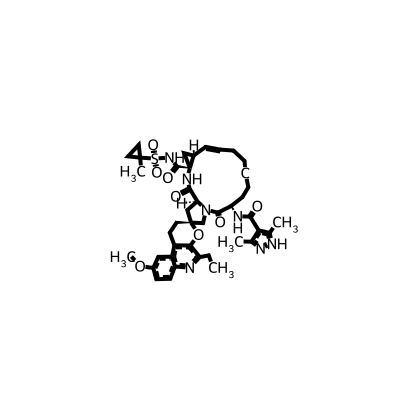 CCc1nc2ccc(OC)cc2c2c1O[C@]1(CC2)C[C@H]2C(=O)N[C@]3(C(=O)NS(=O)(=O)C4(C)CC4)C[C@H]3C=CCCCCC[C@H](NC(=O)c3c(C)n[nH]c3C)C(=O)N2C1